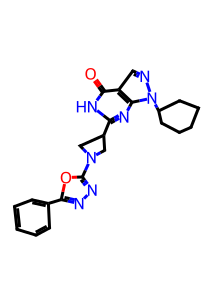 O=c1[nH]c(C2CN(c3nnc(-c4ccccc4)o3)C2)nc2c1cnn2C1CCCCC1